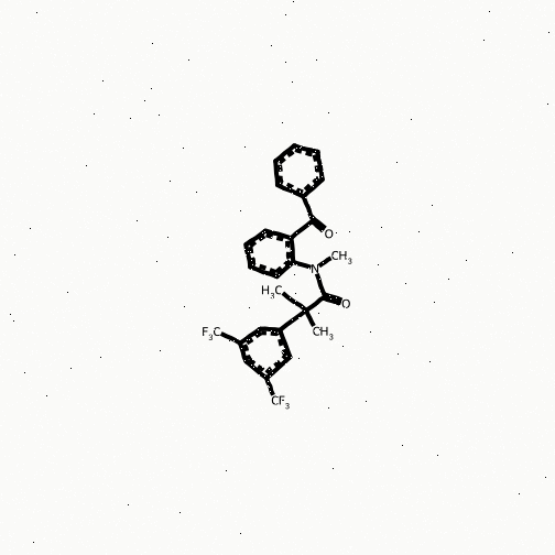 CN(C(=O)C(C)(C)c1cc(C(F)(F)F)cc(C(F)(F)F)c1)c1ccccc1C(=O)c1ccccc1